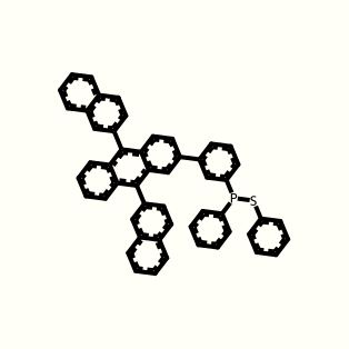 c1ccc(SP(c2ccccc2)c2cccc(-c3ccc4c(-c5ccc6ccccc6c5)c5ccccc5c(-c5ccc6ccccc6c5)c4c3)c2)cc1